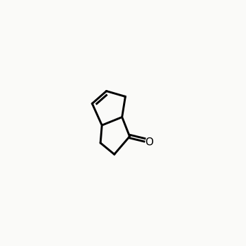 O=C1CCC2C=CCC12